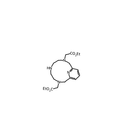 CCOC(=O)CN1CCNCCN(CC(=O)OCC)Cc2cccc(n2)C1